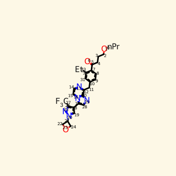 CCCOCCCC(=O)c1ccc(Cc2nccn3c(-c4cn(C5COC5)nc4C(F)(F)F)cnc23)cc1CC